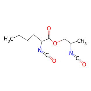 CCCCC(N=C=O)C(=O)OCC(C)N=C=O